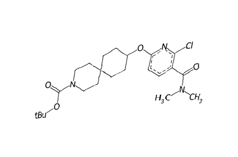 CN(C)C(=O)c1ccc(OC2CCC3(CC2)CCN(C(=O)OC(C)(C)C)CC3)nc1Cl